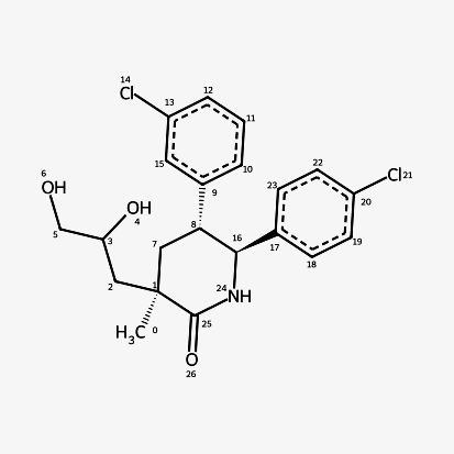 C[C@]1(CC(O)CO)C[C@H](c2cccc(Cl)c2)[C@@H](c2ccc(Cl)cc2)NC1=O